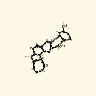 Cc1ccc2[nH]c3cc4c(ccc5sc6ccccc6c54)cc3c2c1